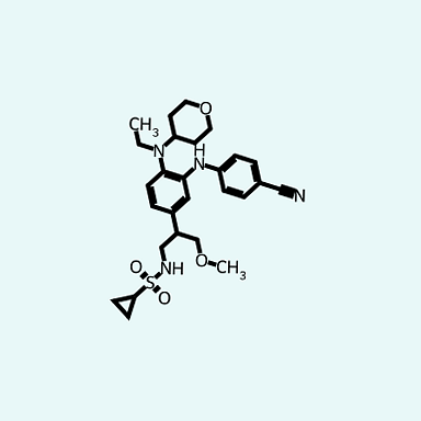 CCN(c1ccc(C(CNS(=O)(=O)C2CC2)COC)cc1Nc1ccc(C#N)cc1)C1CCOCC1